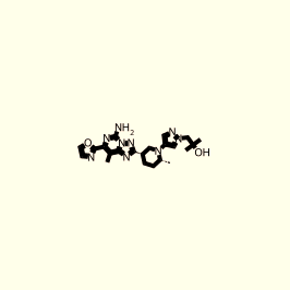 Cc1c(-c2ncco2)nc(N)n2nc([C@H]3CC[C@@H](C)N(c4cnn(CC(C)(C)O)c4)C3)nc12